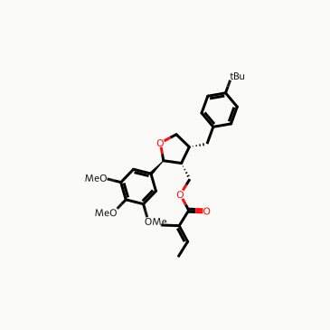 C/C=C(\C)C(=O)OC[C@H]1[C@@H](Cc2ccc(C(C)(C)C)cc2)CO[C@@H]1c1cc(OC)c(OC)c(OC)c1